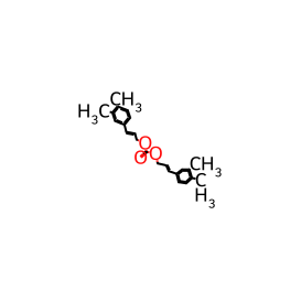 Cc1ccc(C=CCOC(=O)OCC=Cc2ccc(C)c(C)c2)cc1C